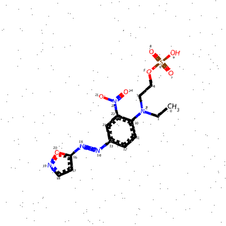 CCN(CCOS(=O)(=O)O)c1ccc(N=Nc2ccno2)cc1[N+](=O)[O-]